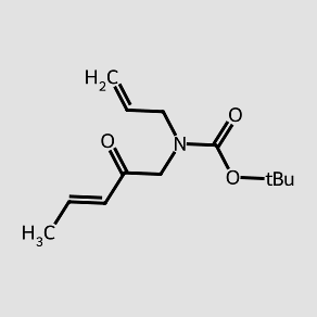 C=CCN(CC(=O)C=CC)C(=O)OC(C)(C)C